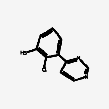 Sc1cccc(-c2ccncn2)c1Cl